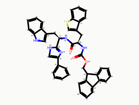 O=C(N[C@H](Cc1csc2ccccc12)C(=O)N[C@H](Cc1c[nH]c2ccccc12)c1nc(-c2ccccc2)c[nH]1)OCC1c2ccccc2-c2ccccc21